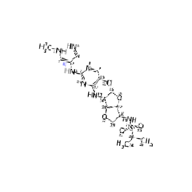 CN/C=C(\C=N)Nc1ncc(Cl)c(NC2COC3C(NS(=O)(=O)C(C)C)COC23)n1